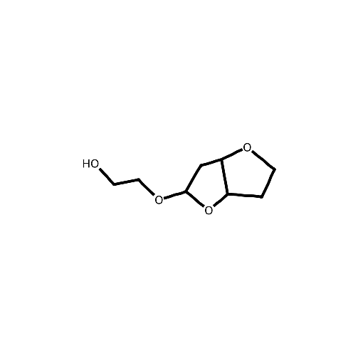 OCCOC1CC2OCCC2O1